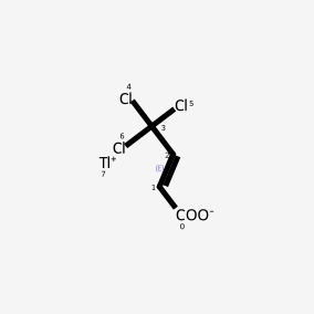 O=C([O-])/C=C/C(Cl)(Cl)Cl.[Tl+]